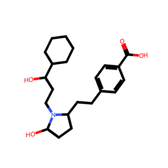 O=C(O)c1ccc(CCC2CCC(O)N2CCC(O)C2CCCCC2)cc1